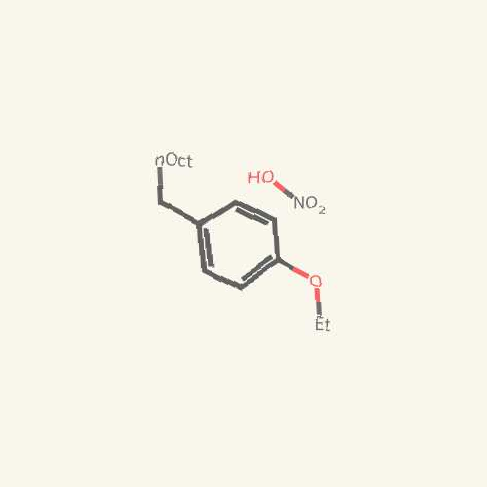 CCCCCCCCCc1ccc(OCC)cc1.O=[N+]([O-])O